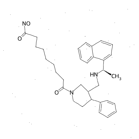 C[C@@H](NCC1CN(C(=O)CCCCCCCC(=O)N=O)CCC1c1ccccc1)c1cccc2ccccc12